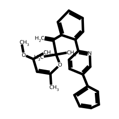 C=C(c1ccccc1-c1ccc(-c2ccccc2)cn1)C(C)(C)O/C(C)=C\C(C)OC